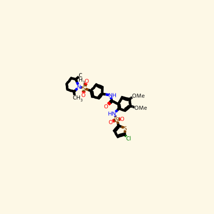 COc1cc(NS(=O)(=O)c2ccc(Cl)s2)c(C(=O)Nc2ccc(S(=O)(=O)N3C(C)CCCC3C)cc2)cc1OC